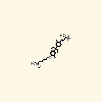 CCC(CC)(c1ccc(/C=C/C(O)C(C)(C)C)c(C)c1)c1ccc(OCCCCCC(=O)O)c(C)c1